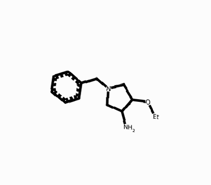 CCOC1CN(Cc2ccccc2)CC1N